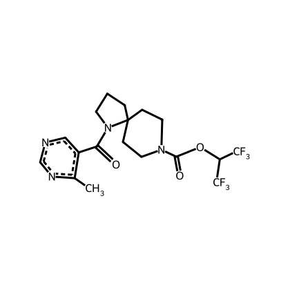 Cc1ncncc1C(=O)N1CCCC12CCN(C(=O)OC(C(F)(F)F)C(F)(F)F)CC2